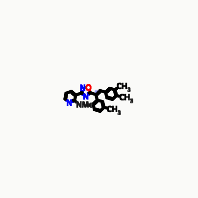 CNc1ncccc1-c1noc(/C(=C/c2ccc(C)c(C)c2)c2cccc(C)c2)n1